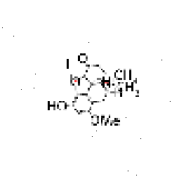 COc1cc(O)c2c3c1C[C@@H]1[C@@H]4CCC(=O)[C@H](O2)[C@]34CC[N+]1(C)C.[I-]